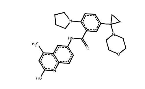 Cc1cc(O)nc2ccc(NC(=O)c3cc(C4(N5CCOCC5)CC4)ccc3N3CCCC3)cc12